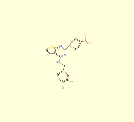 Cc1cc2c(NCc3ccc(Cl)c(Cl)c3)nc(-c3ccc(C(=O)O)cc3)nc2s1